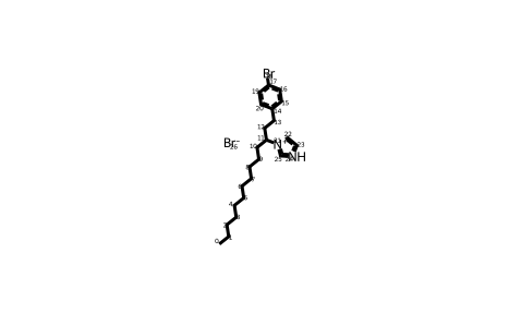 CCCCCCCCCCCC(CCc1ccc(Br)cc1)[n+]1cc[nH]c1.[Br-]